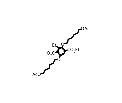 CCOC(=O)c1cc(OCCCCCCOC(C)=O)c(C(=O)O)c(CC)c1OCCCCCCOC(C)=O